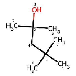 CC(C)(C)[CH]C(C)(C)O